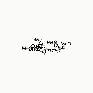 CCOC(COc1cncc(OCCOCCOC(=O)N(Cc2cccc(OC)c2)Cc2cccc(OC)c2)c1)(OC=O)N(Cc1cccc(OC)c1)Cc1cccc(OC)c1